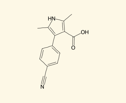 Cc1[nH]c(C)c(-c2ccc(C#N)cc2)c1C(=O)O